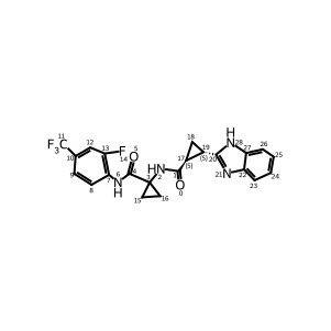 O=C(NC1(C(=O)Nc2ccc(C(F)(F)F)cc2F)CC1)[C@H]1C[C@@H]1c1nc2ccccc2[nH]1